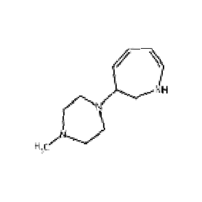 CN1CCN(C2C=CC=CNC2)CC1